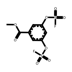 COC(=O)c1cc(OS(=O)(=O)F)cc(OS(=O)(=O)F)c1